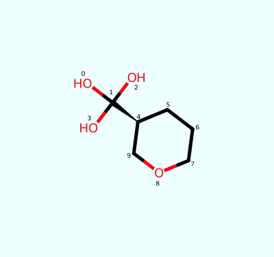 OC(O)(O)[C@H]1CCCOC1